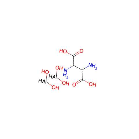 NC(C(=O)O)C(N)C(=O)O.[OH][AlH][OH].[OH][AlH][OH]